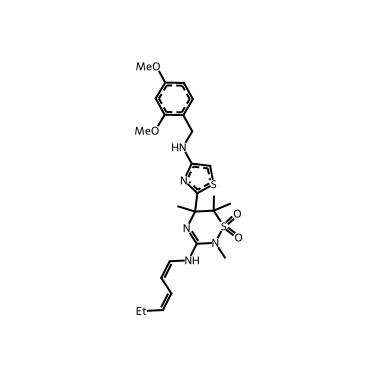 CC/C=C\C=C/NC1=NC(C)(c2nc(NCc3ccc(OC)cc3OC)cs2)C(C)(C)S(=O)(=O)N1C